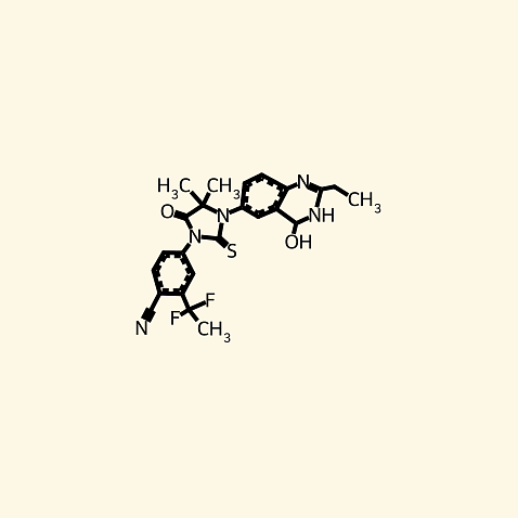 CCC1=Nc2ccc(N3C(=S)N(c4ccc(C#N)c(C(C)(F)F)c4)C(=O)C3(C)C)cc2C(O)N1